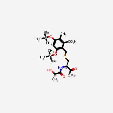 COC(=O)[C@H](CSCc1c(O[Si](C)(C)C(C)(C)C)cc(O[Si](C)(C)C(C)(C)C)c(C)c1C(=O)O)NC(=O)[C@H](C)O